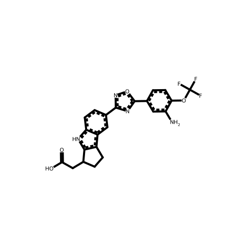 Nc1cc(-c2nc(-c3ccc4[nH]c5c(c4c3)CCC5CC(=O)O)no2)ccc1OC(F)(F)F